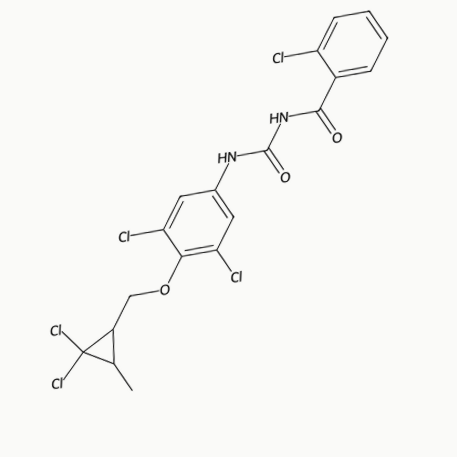 CC1C(COc2c(Cl)cc(NC(=O)NC(=O)c3ccccc3Cl)cc2Cl)C1(Cl)Cl